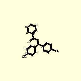 O=C(C=C(c1ccc(Cl)cc1)c1ccc(Cl)cc1)c1ccccc1